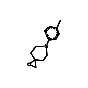 Cc1ccc(N2CCC3(CC2)CO3)cc1